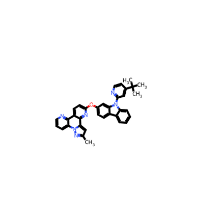 Cc1cc2c3nc(Oc4ccc5c6ccccc6n(-c6cc(C(C)(C)C)ccn6)c5c4)ccc3c3ncccc3n2n1